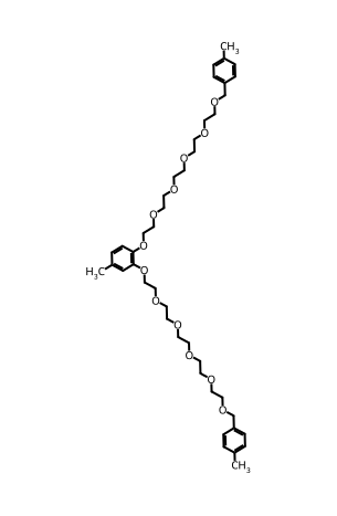 Cc1ccc(COCCOCCOCCOCCOCCOc2ccc(C)cc2OCCOCCOCCOCCOCCOCc2ccc(C)cc2)cc1